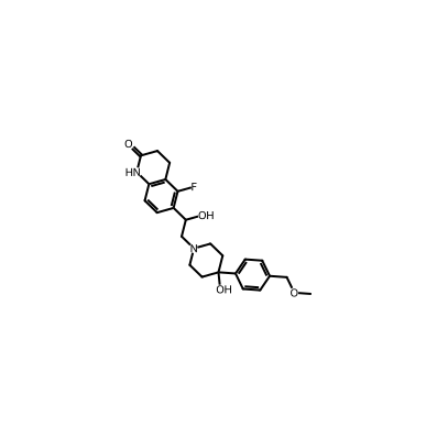 COCc1ccc(C2(O)CCN(CC(O)c3ccc4c(c3F)CCC(=O)N4)CC2)cc1